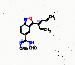 C=C/C=C(\C=C)c1onc2ccc(/C(=N/OC)NC=O)cc12